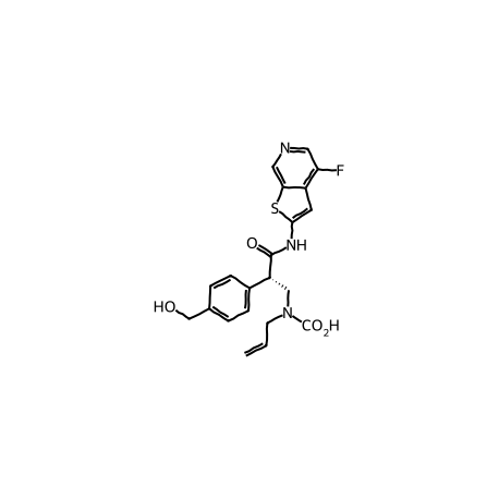 C=CCN(C[C@@H](C(=O)Nc1cc2c(F)cncc2s1)c1ccc(CO)cc1)C(=O)O